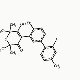 CCc1ccc(-c2ccc(C)cc2F)cc1C1=C(O)C(C)(C)OC(C)(C)C1=O